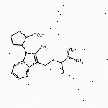 CN(C)C(=O)CCc1c(N)n(C2CCCC2C(=O)O)c2ccccc12